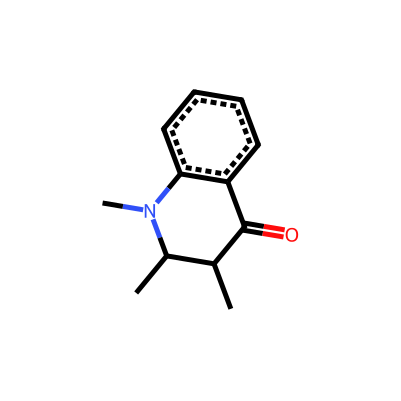 CC1C(=O)c2ccccc2N(C)C1C